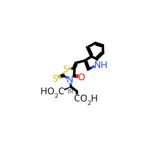 O=C(O)C[C@@H](C(=O)O)N1C(=O)C(=Cc2c[nH]c3ccccc23)SC1=S